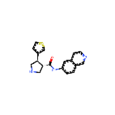 O=C(Nc1ccc2cnccc2c1)[C@@H]1CNC[C@H]1c1ccsc1